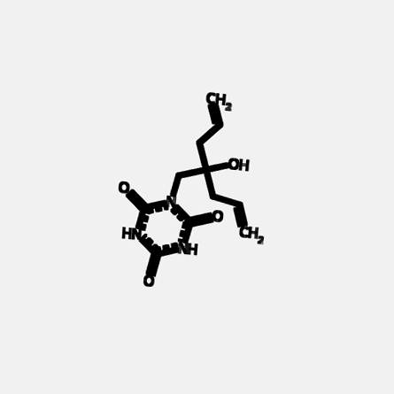 C=CCC(O)(CC=C)Cn1c(=O)[nH]c(=O)[nH]c1=O